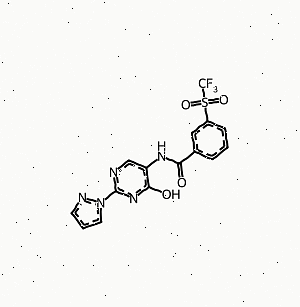 O=C(Nc1cnc(-n2cccn2)nc1O)c1cccc(S(=O)(=O)C(F)(F)F)c1